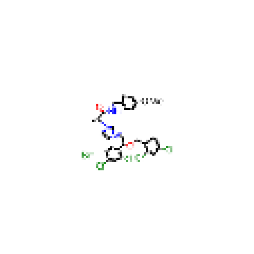 COc1ccc(CNC(=O)C(C)n2cc[n+](CC(OCc3ccc(Cl)cc3Cl)c3ccc(Cl)cc3Cl)c2)cc1.[Br-]